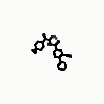 CC(NC(=O)c1ccc(-c2ccccc2)c(C#N)c1)C(=O)N1CCC2(CC1)CC2